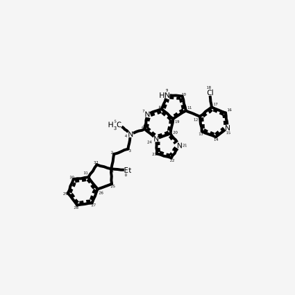 CCC1(CCN(C)c2nc3[nH]cc(-c4ccncc4Cl)c3c3nccn23)Cc2ccccc2C1